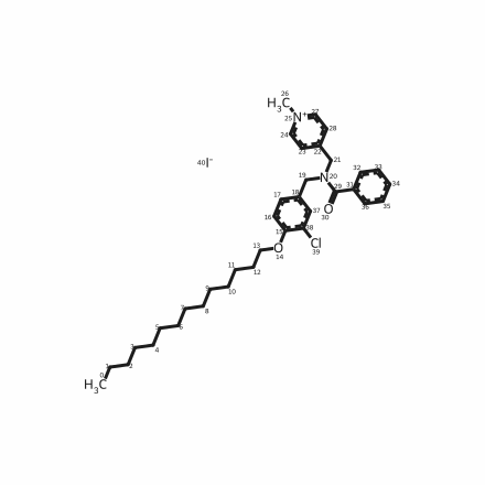 CCCCCCCCCCCCCCOc1ccc(CN(Cc2cc[n+](C)cc2)C(=O)c2ccccc2)cc1Cl.[I-]